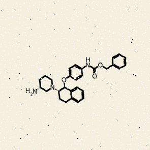 N[C@@H]1CCCN([C@H]2CCc3ccccc3[C@@H]2Oc2ccc(NC(=O)OCc3ccccc3)cc2)C1